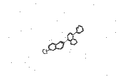 Clc1ccc2cc(-c3ccc(-c4ccccc4)c4ccccc34)ccc2c1